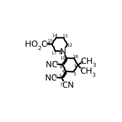 CC1(C)CC(=C(C#N)C#N)C(C#N)=C(N2CCCC(C(=O)O)C2)C1